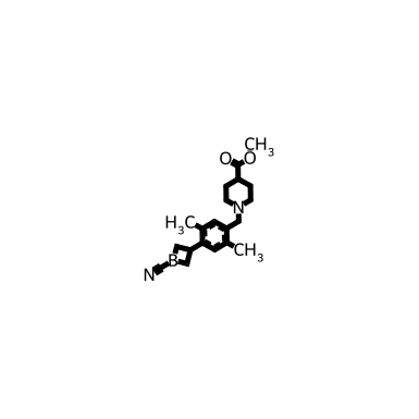 COC(=O)C1CCN(Cc2cc(C)c(C3CB(C#N)C3)cc2C)CC1